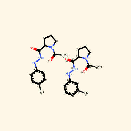 COC(=O)N1CCCC1C(=O)NNc1ccc(C#N)cc1.COC(=O)N1CCCC1C(=O)NNc1cccc(C#N)c1